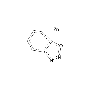 [Zn].c1ccc2onnc2c1